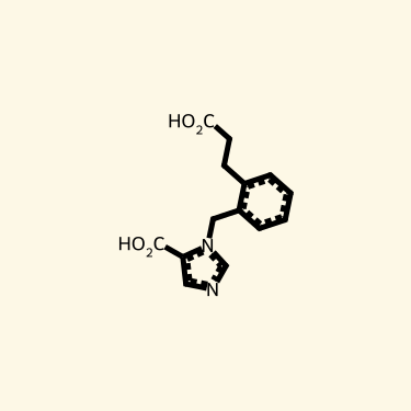 O=C(O)CCc1ccccc1Cn1cncc1C(=O)O